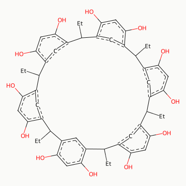 CCC1c2cc(c(O)cc2O)C(CC)c2cc(c(O)cc2O)C(CC)c2cc(c(O)cc2O)C(CC)c2cc(c(O)cc2O)C(CC)c2cc(c(O)cc2O)C(CC)c2cc1c(O)cc2O